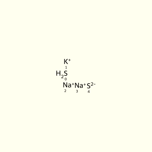 S.[K+].[Na+].[Na+].[S-2]